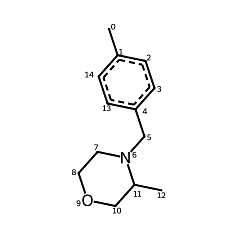 Cc1ccc(CN2CCOCC2C)cc1